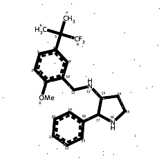 COc1ccc(C(C)(C)C(F)(F)F)cc1CNC1CCNC1c1ccccc1